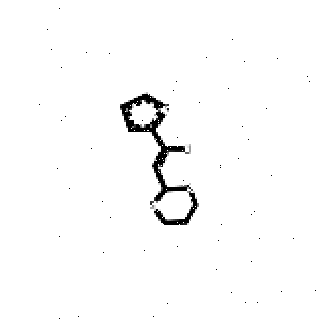 ClC(=CC1SCCCS1)c1cccs1